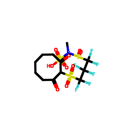 CN(S(=O)(=O)O)S(=O)(=O)C(F)(F)C(F)(F)C(F)(F)S(=O)(=O)C1C(=O)CCCCCC1=O